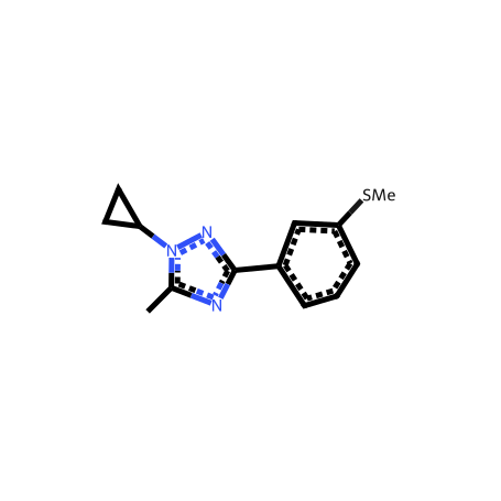 CSc1cccc(-c2nc(C)n(C3CC3)n2)c1